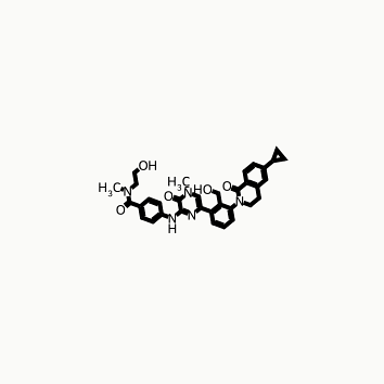 CN(CCO)C(=O)c1ccc(Nc2nc(-c3cccc(N4CCc5cc(C6CC6)ccc5C4=O)c3CO)cn(C)c2=O)cc1